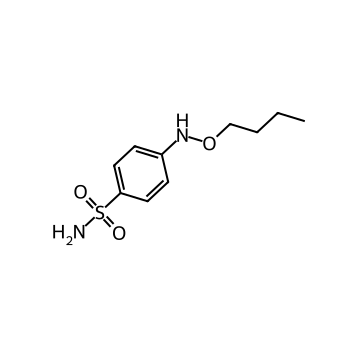 CCCCONc1ccc(S(N)(=O)=O)cc1